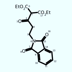 CCOC(=O)C(C(=O)CCN1C(=O)c2ccccc2C1=O)C(=O)OCC